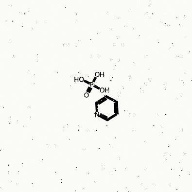 O=P(O)(O)O.c1ccncc1